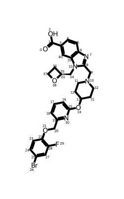 O=C(O)c1ccc2nc(CN3CCC(Oc4cccc(COc5ccc(Br)cc5F)n4)CC3)n(C[C@@H]3CCO3)c2c1